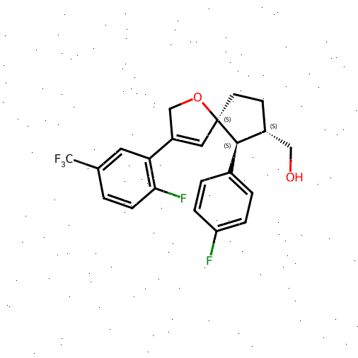 OC[C@H]1CC[C@@]2(C=C(c3cc(C(F)(F)F)ccc3F)CO2)[C@@H]1c1ccc(F)cc1